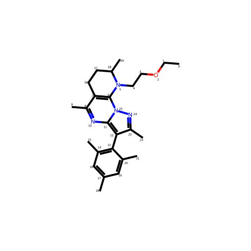 CCOCCN1c2c(c(C)nc3c(-c4c(C)cc(C)cc4C)c(C)nn23)CCC1C